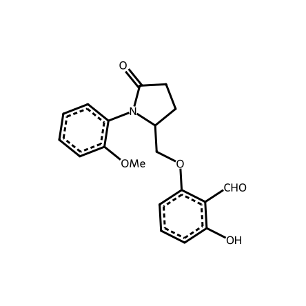 COc1ccccc1N1C(=O)CCC1COc1cccc(O)c1C=O